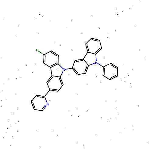 Fc1ccc2c(c1)c1cc(-c3ccccn3)ccc1n2-c1ccc2c(c1)c1ccccc1n2-c1ccccc1